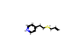 C=CCSCCc1ccncc1